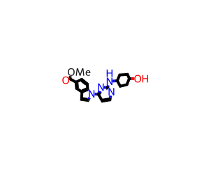 COC(=O)c1ccc2c(ccn2-c2ccnc(NC3CCC(O)CC3)n2)c1